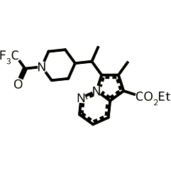 CCOC(=O)c1c(C)c(C(C)C2CCN(C(=O)C(F)(F)F)CC2)n2ncccc12